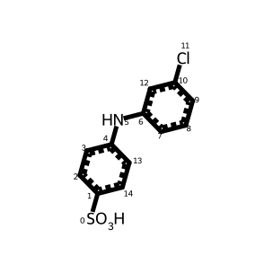 O=S(=O)(O)c1ccc(Nc2cccc(Cl)c2)cc1